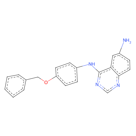 Nc1ccc2ncnc(Nc3ccc(OCc4ccccc4)cc3)c2c1